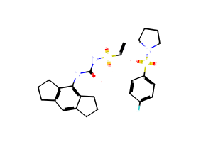 O=C(Nc1c2c(cc3c1CCC3)CCC2)NS(=O)(=O)/C=C/[C@@H]1CCCN1S(=O)(=O)c1ccc(F)cc1